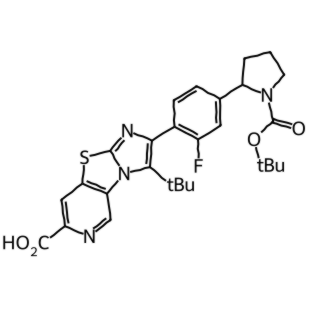 CC(C)(C)OC(=O)N1CCCC1c1ccc(-c2nc3sc4cc(C(=O)O)ncc4n3c2C(C)(C)C)c(F)c1